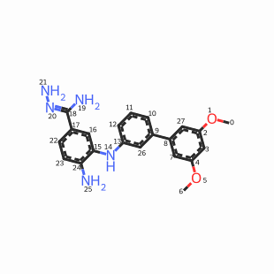 COc1cc(OC)cc(-c2cccc(Nc3cc(/C(N)=N/N)ccc3N)c2)c1